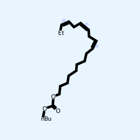 CC/C=C\C/C=C\C/C=C\CCCCCCCCOC(=O)OCCCC